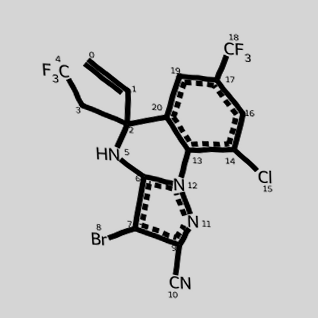 C=CC1(CC(F)(F)F)Nc2c(Br)c(C#N)nn2-c2c(Cl)cc(C(F)(F)F)cc21